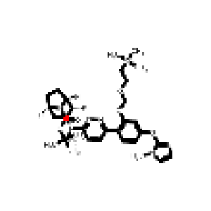 CN(c1ccc(-c2ccc(Oc3nccn3C)cc2OCOCC[Si](C)(C)C)nn1)[C@@H]1C[C@H]2CC[C@H]([C@@H]1F)N2C(=O)OC(C)(C)C